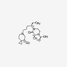 C[C@H]1C(=O)N([C@H](CO)CCCN2CCC3(CC3)[C@H](O)C2)CCN1C(=O)O